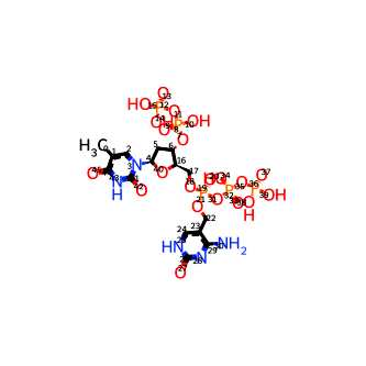 Cc1cn([C@H]2C[C@H](OP(=O)(O)OP(=O)(O)O)[C@@H](COP(=O)(OCc3c[nH]c(=O)nc3N)OP(=O)(O)OP(=O)(O)O)O2)c(=O)[nH]c1=O